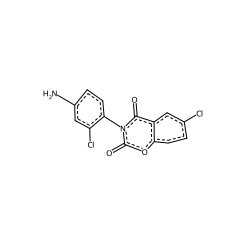 Nc1ccc(-n2c(=O)oc3ccc(Cl)cc3c2=O)c(Cl)c1